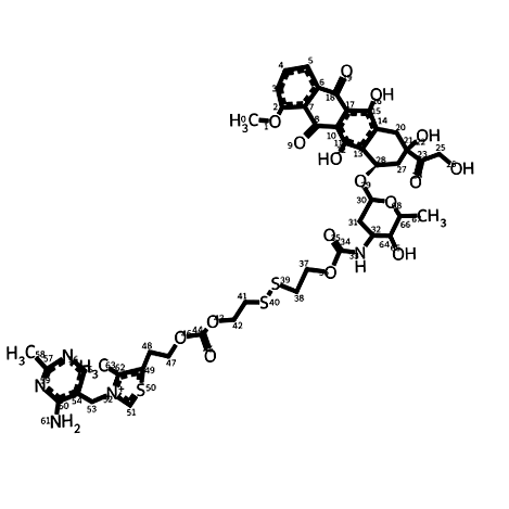 COc1cccc2c1C(=O)c1c(O)c3c(c(O)c1C2=O)CC(O)(C(=O)CO)C[C@H]3OC1CC(NC(=O)OCCSSCCOC(=O)OCCc2sc[n+](Cc3cnc(C)nc3N)c2C)C(O)C(C)O1